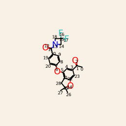 CC(=O)c1cc(Oc2ccc(C(=O)N3CC(F)(F)C3)cc2)c2c(c1)OC(C)(C)C2